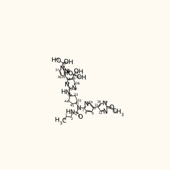 CCCNC(=O)N(c1ccc(-c2cnc(OC)nc2)cn1)[C@H]1CC[C@H](Nc2ncc(C(O)(O)O)c(-c3ccn(C(O)O)n3)n2)CC1